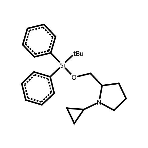 CC(C)(C)[Si](OCC1CCCN1C1CC1)(c1ccccc1)c1ccccc1